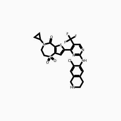 O=C1c2sc(-c3nc(Nc4cc5c(cc4Cl)CNCC5)ncc3C(F)(F)F)cc2S(=O)(=O)CCN1C1CC1